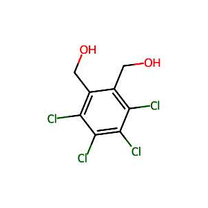 OCc1c(Cl)c(Cl)c(Cl)c(Cl)c1CO